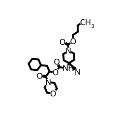 CCCCOC(=O)N1CCC(C#N)(NC(=O)OC(CC2CCCCC2)C(=O)N2CCOCC2)CC1